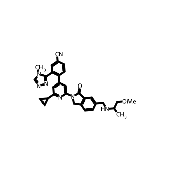 COCC(C)NCc1ccc2c(c1)C(=O)N(c1cc(-c3ccc(C#N)cc3-c3nncn3C)cc(C3CC3)n1)C2